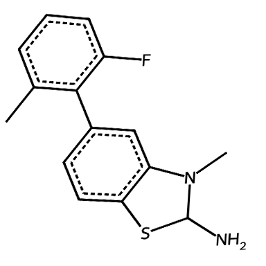 Cc1cccc(F)c1-c1ccc2c(c1)N(C)C(N)S2